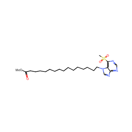 COC(=O)CCCCCCCCCCCCCCCn1cnc2ncnc(S(C)(=O)=O)c21